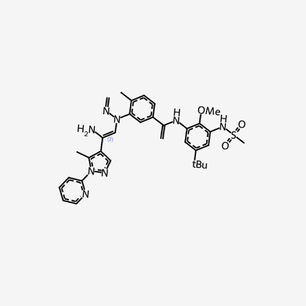 C=NN(/C=C(\N)c1cnn(-c2ccccn2)c1C)c1cc(C(=C)Nc2cc(C(C)(C)C)cc(NS(C)(=O)=O)c2OC)ccc1C